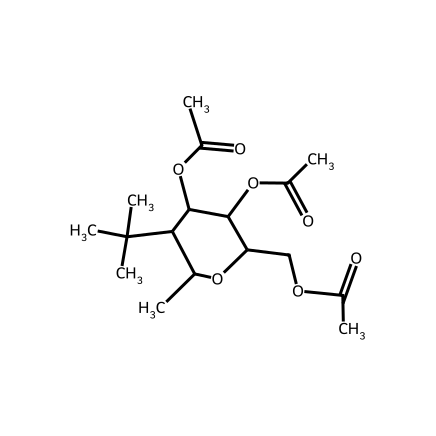 CC(=O)OCC1OC(C)C(C(C)(C)C)C(OC(C)=O)C1OC(C)=O